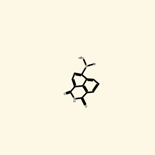 CCCCN(Br)c1ccc2c3c(cccc13)C(=O)NC2=O